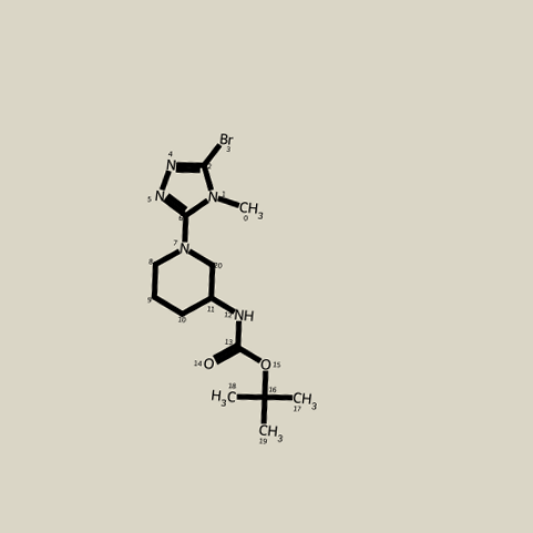 Cn1c(Br)nnc1N1CCCC(NC(=O)OC(C)(C)C)C1